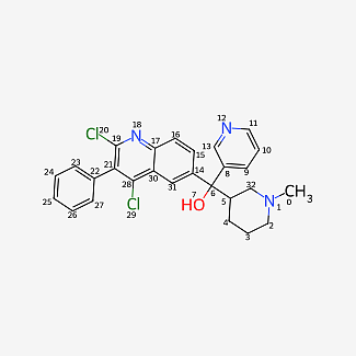 CN1CCCC(C(O)(c2cccnc2)c2ccc3nc(Cl)c(-c4ccccc4)c(Cl)c3c2)C1